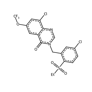 CCS(=O)(=O)c1ccc(Cl)cc1Cn1cnc2c(Cl)cc(OC(F)(F)F)cc2c1=O